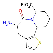 CCOC(=O)C1CCCC2c3sccc3CC(N)C(=O)N12